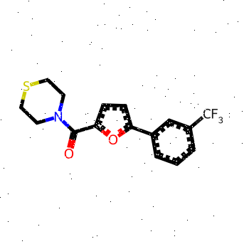 O=C(c1ccc(-c2cccc(C(F)(F)F)c2)o1)N1CCSCC1